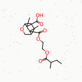 CCC(C)C(=O)OCCOC(=O)C1(C)C2CCC(OC2)C1(C)C(=O)O